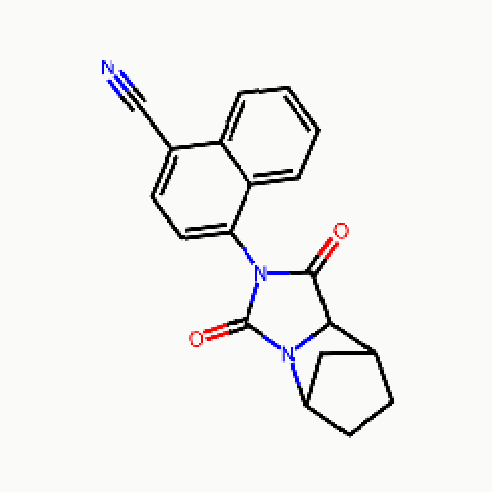 N#Cc1ccc(N2C(=O)C3C4CCC(C4)N3C2=O)c2ccccc12